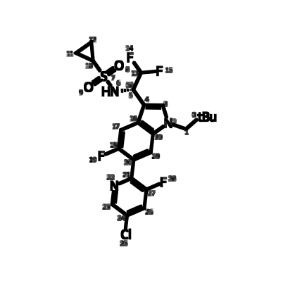 CC(C)(C)Cn1cc([C@H](NS(=O)(=O)C2CC2)C(F)F)c2cc(F)c(-c3ncc(Cl)cc3F)cc21